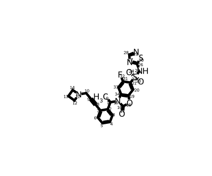 CC(c1ccccc1C#CCN1CCC1)n1c(=O)oc2cc(S(=O)(=O)Nc3ncns3)c(F)cc21